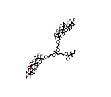 CCC(C)(C)C(=O)OCCCC(C)(OCCOCC(F)(OC(F)(F)C(F)(OC(F)(F)C(F)(F)C(F)(F)F)C(F)(F)F)C(F)(F)F)OCCOCC(F)(OC(F)(F)C(F)(OC(F)(F)C(F)(F)C(F)(F)F)C(F)(F)F)C(F)(F)F